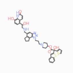 O=C(OC1CCN(CCCn2nnc3cc(CNC[C@H](O)c4ccc(O)c5[nH]c(=O)ccc45)c4c(c32)CCC4)CC1)C(O)(c1cccs1)c1cc2ccccc2s1